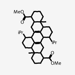 COC(=O)C1CCCC2(C)C3CCC(C(C)C)C4C5=C6C(C(=C43)CC12)C(C(C)C)CCC6C1(C)CCCC(C(=O)OC)C1C5